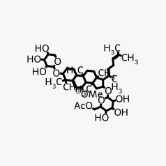 COC1C=C2C(CCC(OC3OCC(O)C(O)C3O)C2(C)C)C2(C)CCC3(C)C(C(C)CCC=C(C)C)C(OC4OC(COC(C)=O)C(O)C(O)C4O)CC3(C)C12